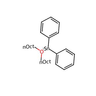 CCCCCCCCOCCCCCCCC.c1cc[c]([Sn][c]2ccccc2)cc1